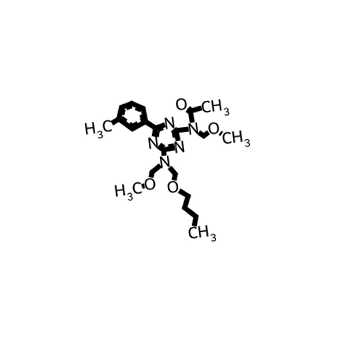 CCCCOCN(COC)c1nc(-c2cccc(C)c2)nc(N(COC)C(C)=O)n1